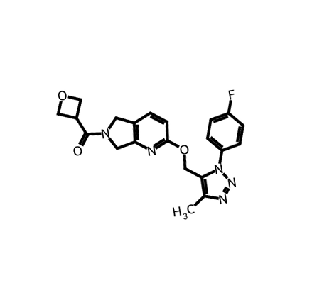 Cc1nnn(-c2ccc(F)cc2)c1COc1ccc2c(n1)CN(C(=O)C1COC1)C2